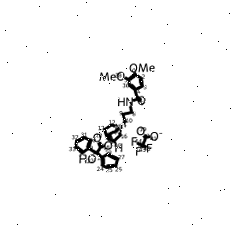 COc1ccc(C(=O)NCCC[N+]23CCC(CC2)[C@@H](OC(=O)C(O)(c2ccccc2)c2ccccc2)C3)cc1OC.O=C([O-])C(F)(F)F